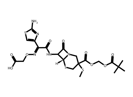 CSC1(C(=O)OCOC(=O)C(C)(C)C)CS[C@@H]2C(NC(=O)C(=NOCC(=O)O)c3csc(N)n3)C(=O)N2C1